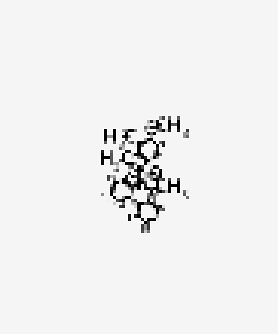 COc1ccc(S(=O)(=O)N2c3ccccc3-c3ccccc3C2C)c(C)c1C